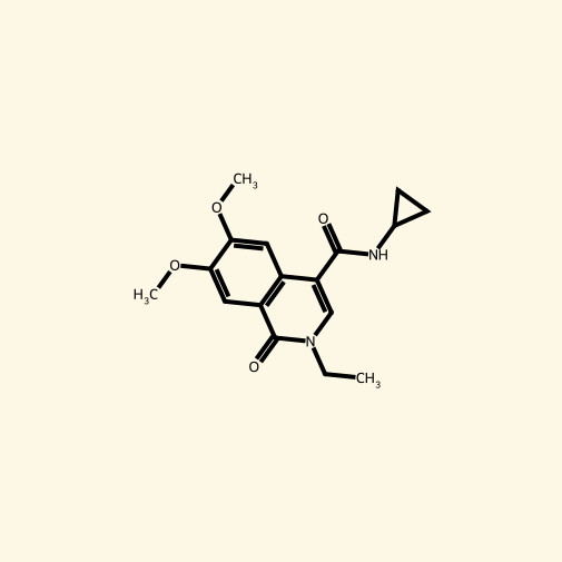 CCn1cc(C(=O)NC2CC2)c2cc(OC)c(OC)cc2c1=O